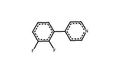 Fc1cccc(-c2c[c]ncc2)c1F